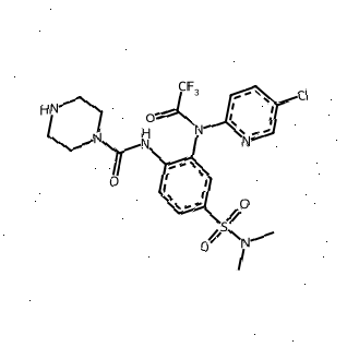 CN(C)S(=O)(=O)c1ccc(NC(=O)N2CCNCC2)c(N(C(=O)C(F)(F)F)c2ccc(Cl)cn2)c1